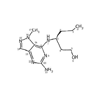 CCC[C@@H](CCO)Nc1nc(N)nc2cnn(C)c12